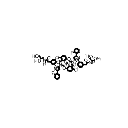 O=C(Cc1cccc(-n2nc(-c3ccccc3F)cc2NC(=O)N(c2cccc(Cl)c2Cl)N(C(=O)Nc2cc(-c3ccccc3F)nn2-c2cccc(CC(=O)NC(CO)CO)c2)c2cccc(Cl)c2Cl)c1)NCC(O)CO